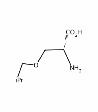 CC(C)COC[C@@H](N)C(=O)O